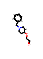 O=[C]COC1CCN(Cc2ccccc2)CC1